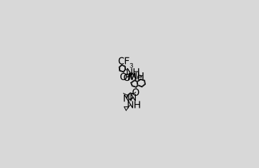 COc1ccc(C(F)(F)F)cc1NC(=O)Nc1ccc(Oc2cc(C)nc(NC3CC3)n2)c2ccccc12